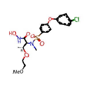 COCCO[C@H](C)C(C(=O)NO)N(C)S(=O)(=O)c1ccc(Oc2ccc(Cl)cc2)cc1